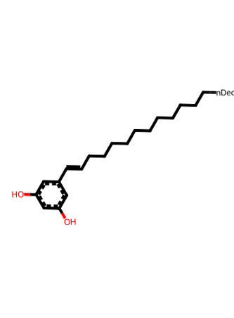 CCCCCCCCCCCCCCCCCCCCCC=Cc1cc(O)cc(O)c1